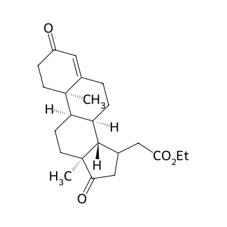 CCOC(=O)CC1CC(=O)[C@@]2(C)CC[C@@H]3[C@@H](CCC4=CC(=O)CC[C@@]43C)[C@H]12